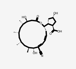 C[C@@H]1C[C@H](C)C[C@H](C)[C@@H](O)CC(=O)O[C@H]([C@@H]2C[C@H](O)C[C@H]2C(=O)O)CC=CC=C(C#N)[C@H](O)[C@@H](C)C1